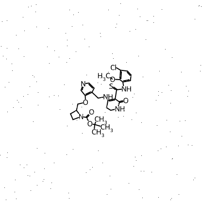 COc1c(Cl)cccc1NC(=S)C1=C(NCc2ccncc2OCC2CCN2C(=O)OC(C)(C)C)CCNC1=O